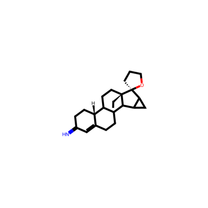 CC[C@]12CCC3C(CCC4=CC(=N)CC[C@@H]43)C1C1CC1[C@@]21CCCO1